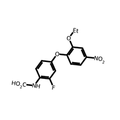 CCOc1cc([N+](=O)[O-])ccc1Oc1ccc(NC(=O)O)c(F)c1